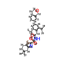 CC(C)c1cc(-c2ccc3c(c2)COCC3)cc(C(C)C)c1CC(=O)NS(=O)(=O)c1nc2c(s1)CCC1(CC1)C2